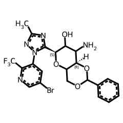 Cc1nc([C@@H]2OC3COC(c4ccccc4)O[C@@H]3C(N)C2O)n(-c2cc(Br)cnc2C(F)(F)F)n1